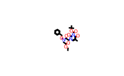 CCOC(=O)CN(OCc1ccccc1)C(=O)Cn1cc(C)c(=O)n(C(=O)OC(C)(C)C)c1=O